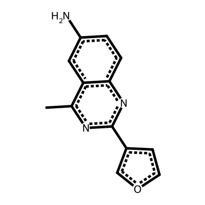 Cc1nc(-c2ccoc2)nc2ccc(N)cc12